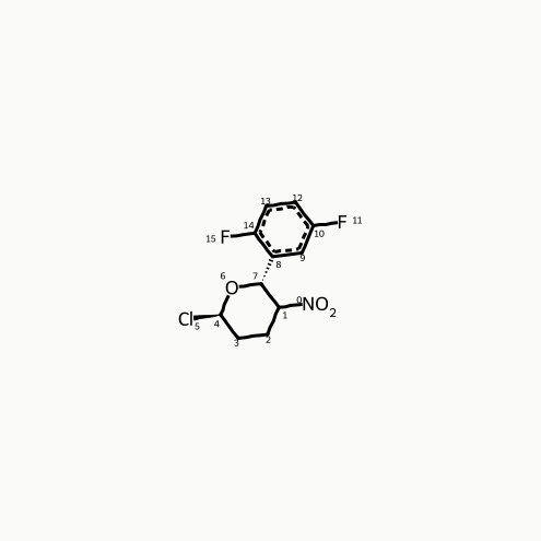 O=[N+]([O-])C1CC[C@@H](Cl)O[C@@H]1c1cc(F)ccc1F